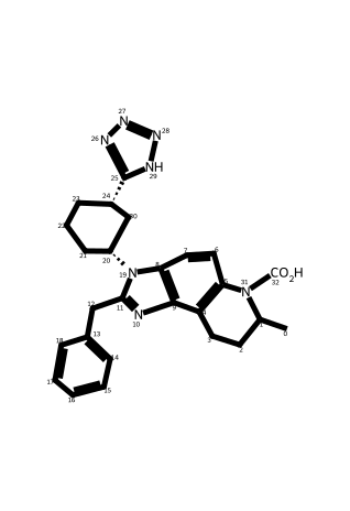 CC1CCc2c(ccc3c2nc(Cc2ccccc2)n3[C@@H]2CCC[C@H](c3nnn[nH]3)C2)N1C(=O)O